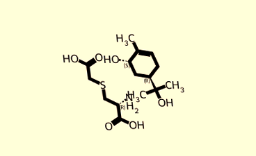 CC1=CC[C@@H](C(C)(C)O)C[C@@H]1O.N[C@@H](CSCC(=O)O)C(=O)O